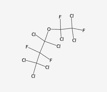 FC(Cl)(Cl)C(F)(Cl)OC(Cl)(Cl)C(F)(F)C(Cl)(Cl)Cl